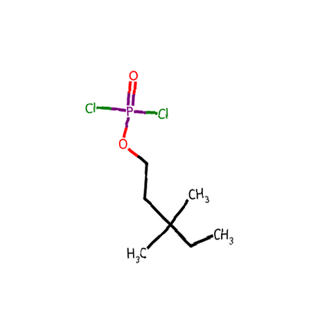 CCC(C)(C)CCOP(=O)(Cl)Cl